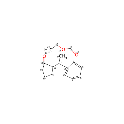 CC(c1ccccc1)C1CCCC1=O.CCOC=O